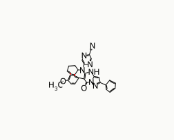 COc1ccc(-c2c(N(c3cnc(C#N)cn3)C3CC=CCC3)[nH]c3cc(-c4ccccc4)nn3c2=O)cc1